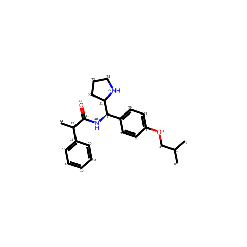 CC(C)COc1ccc([C@@H](NC(=O)C(C)c2ccccc2)C2CCCN2)cc1